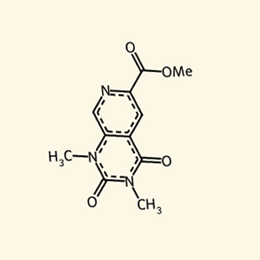 COC(=O)c1cc2c(=O)n(C)c(=O)n(C)c2cn1